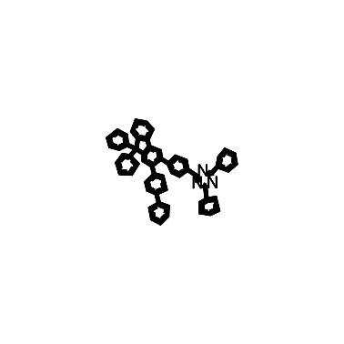 c1ccc(-c2ccc(-c3cc4c(cc3-c3ccc(-c5nc(-c6ccccc6)nc(-c6ccccc6)n5)cc3)-c3ccccc3C4(c3ccccc3)c3ccccc3)cc2)cc1